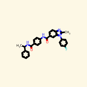 Cc1nc2ccc(C(=O)Nc3ccc(C(=O)NC(C)c4ccccc4)cc3)cc2n1-c1ccc(F)cc1